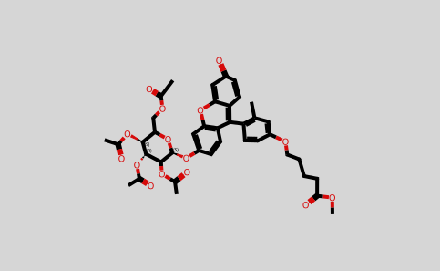 COC(=O)CCCCOc1ccc(-c2c3ccc(=O)cc-3oc3cc(O[C@@H]4OC(COC(C)=O)[C@H](OC(C)=O)[C@@H](OC(C)=O)C4OC(C)=O)ccc23)c(C)c1